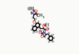 CCOC(Cc1ccc(OCCc2nc(C(C)(C)C)oc2C)c2ccccc12)C(=O)N1C(=O)OCC1Cc1ccccc1